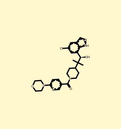 CC(C)(C1CCN(C(=O)c2ccc(N3CCOCC3)nc2)CC1)[C@H](O)c1cc(Cl)cc2cn[nH]c12